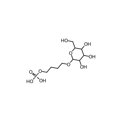 O=P(O)(O)OCCCCOC1OC(CO)C(O)C(O)C1O